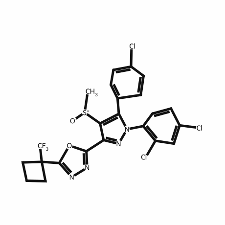 C[S+]([O-])c1c(-c2nnc(C3(C(F)(F)F)CCC3)o2)nn(-c2ccc(Cl)cc2Cl)c1-c1ccc(Cl)cc1